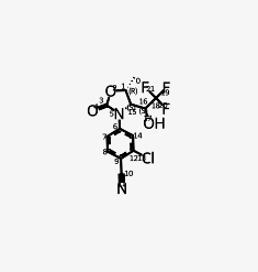 C[C@H]1OC(=O)N(c2ccc(C#N)c(Cl)c2)[C@H]1[C@H](O)C(F)(F)F